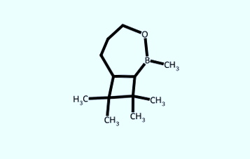 CB1OCCCC2C1C(C)(C)C2(C)C